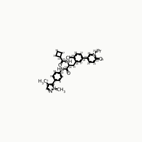 Cc1cnn(C)c1-c1ccc(NC(=O)C(Cc2cc(-c3ccc(=O)n(C(C)C)c3)ccc2Cl)NC(=O)C2CCC2)cc1